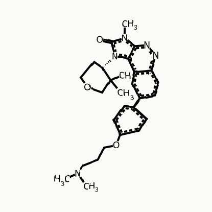 CN(C)CCCOc1ccc(-c2ccc3nnc4c(c3c2)n([C@H]2CCOCC2(C)C)c(=O)n4C)cc1